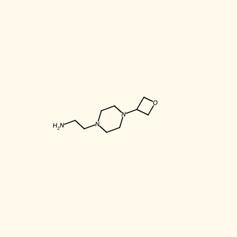 NCCN1CCN(C2COC2)CC1